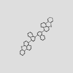 C1=C2Sc3ccc(-c4ccc(-c5ccc(-c6ccc7c8c(cccc68)-c6ccccc6S7)c6ccccc56)c5ccccc45)c4cccc(c34)C2=CCC1